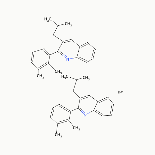 Cc1cccc(-c2nc3ccccc3cc2CC(C)C)c1C.Cc1cccc(-c2nc3ccccc3cc2CC(C)C)c1C.[Ir+2]